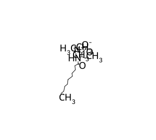 CCCCCCCCCCC(=O)NC(CC)C(C(=O)[O-])[N+](C)(C)C